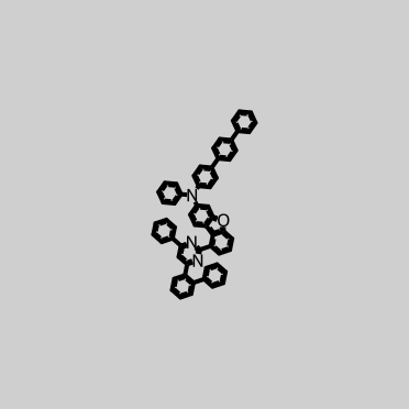 c1ccc(-c2ccc(-c3ccc(N(c4ccccc4)c4ccc5c(c4)oc4cccc(-c6nc(-c7ccccc7)cc(-c7ccccc7-c7ccccc7)n6)c45)cc3)cc2)cc1